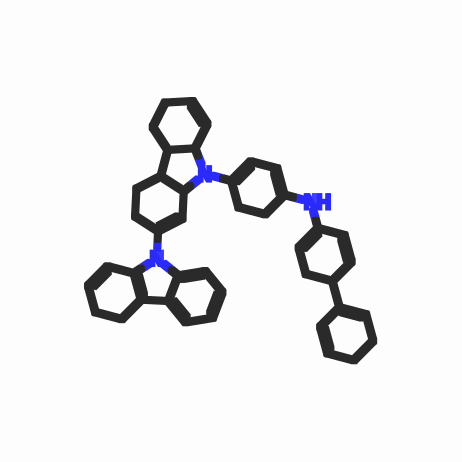 C1=CC(C2C=CC(NC3=CC=C(N4C5C=CCCC5C5CCC(n6c7c(c8ccccc86)CCC=C7)=CC54)CC3)=CC2)=CCC1